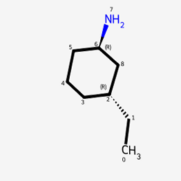 CC[C@@H]1CCC[C@@H](N)C1